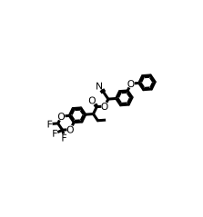 CCC(C(=O)OC(C#N)c1cccc(Oc2ccccc2)c1)c1ccc2c(c1)OC(F)(F)C(F)O2